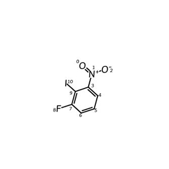 O=[N+]([O-])c1cccc(F)c1I